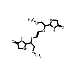 COCC(OC=COC(COC)C1NCC(=O)N1)C1NCC(=O)N1